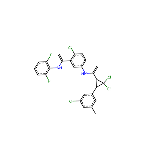 C=C(Nc1c(F)cccc1F)c1cc(NC(=C)C2C(c3cc(C)cc(Cl)c3)C2(Cl)Cl)ccc1Cl